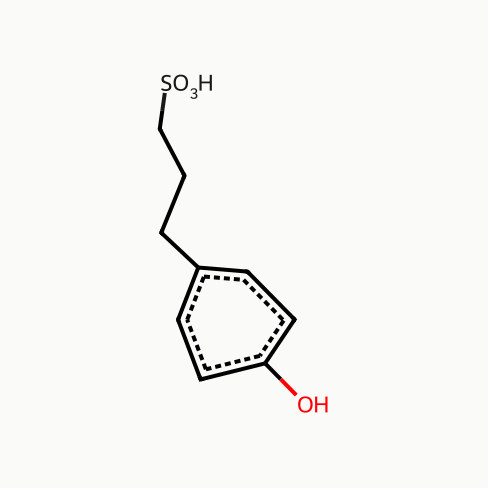 O=S(=O)(O)CCCc1ccc(O)cc1